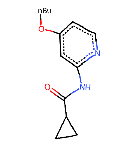 CCCCOc1ccnc(NC(=O)C2CC2)c1